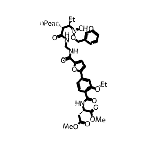 CCCCC[C@@H](C(=O)NCNC(=O)c1ccc(-c2ccc(C(=O)N[C@@H](CC(=O)OC)C(=O)OC)c(OCC)c2)o1)[C@@H](CC)N(C=O)OCc1ccccc1